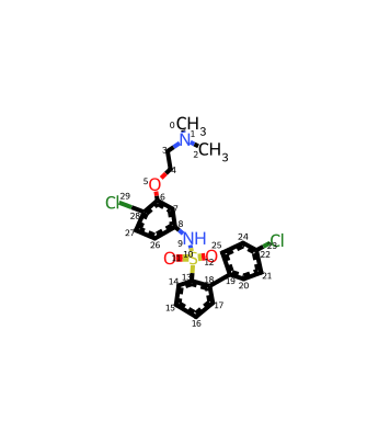 CN(C)CCOc1cc(NS(=O)(=O)c2ccccc2-c2ccc(Cl)cc2)ccc1Cl